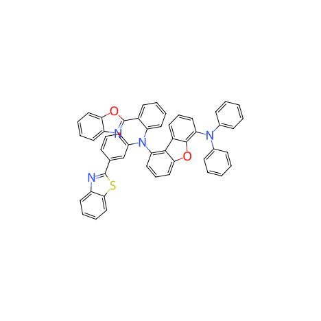 c1ccc(N(c2ccccc2)c2cccc3c2oc2cccc(N(c4cccc(-c5nc6ccccc6s5)c4)c4ccccc4-c4nc5ccccc5o4)c23)cc1